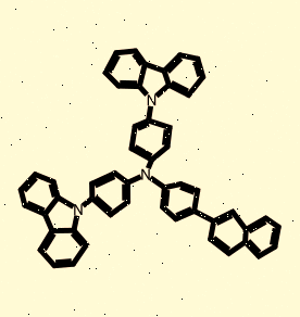 c1ccc2cc(-c3ccc(N(c4ccc(-n5c6ccccc6c6ccccc65)cc4)c4ccc(-n5c6ccccc6c6ccccc65)cc4)cc3)ccc2c1